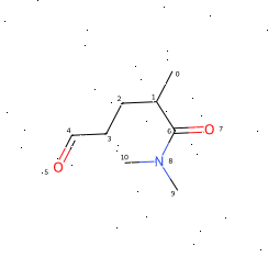 CC(CCC=O)C(=O)N(C)C